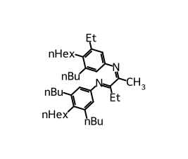 CCCCCCc1c(CC)cc(N=C(C)C(CC)=Nc2cc(CCCC)c(CCCCCC)c(CCCC)c2)cc1CCCC